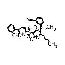 CCCCc1nc(=O)c(S(=O)(=O)c2ccc(-c3ccccc3C)cn2)c(O)n1[C@@H](CC)c1cccc(C#N)c1